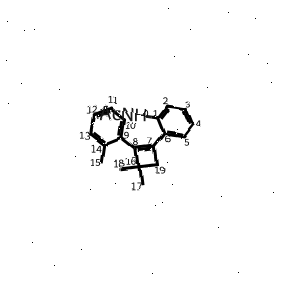 CC(=O)Nc1ccccc1C1=C(c2ccccc2C)C(C)(C)C1